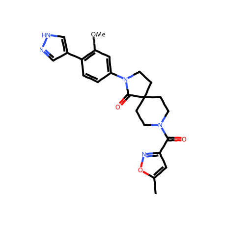 COc1cc(N2CCC3(CCN(C(=O)c4cc(C)on4)CC3)C2=O)ccc1-c1cn[nH]c1